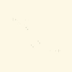 CC(C)(C)OC(=O)N1CCC(c2nccc(CC(=O)O)n2)CC1